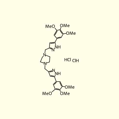 COc1cc(-c2cc(CN3CCN(Cc4cc(-c5cc(OC)c(OC)c(OC)c5)[nH]n4)CC3)n[nH]2)cc(OC)c1OC.Cl.Cl